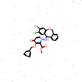 COC(=O)c1c(OCc2ccccc2)c(=O)ccn1NC1c2ccccc2COc2cc(Cl)c(Cl)cc21